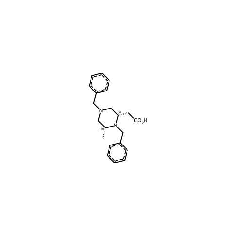 C[C@@H]1CN(Cc2ccccc2)C[C@H](CC(=O)O)N1Cc1ccccc1